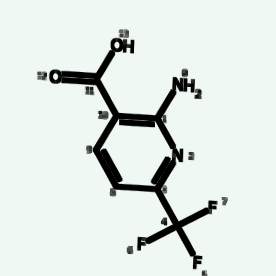 Nc1nc(C(F)(F)F)ccc1C(=O)O